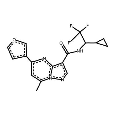 Cc1cc(-c2ccoc2)nc2c(C(=O)NC(C3CC3)C(F)(F)F)cnn12